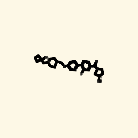 O=C(c1ccc(-c2ccc(OCC3CCN(CC4(C(F)(F)F)CCC4)CC3)cn2)c(F)c1)N1CC[C@@H](O)C1